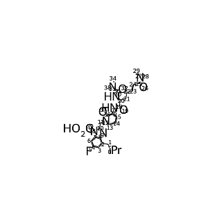 CC(C)Cc1cc(F)cc2c1nc(Cn1cccc(NC(=O)C(CC/C=C/C(=O)N(C)C)NC(=O)N(C)C)c1=O)n2C(=O)O